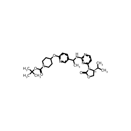 CC(Nc1nccc(N2C(=O)OC[C@@H]2C(C)C)n1)c1ccc(OC2CCN(C(=O)OC(C)(C)C)CC2)nc1